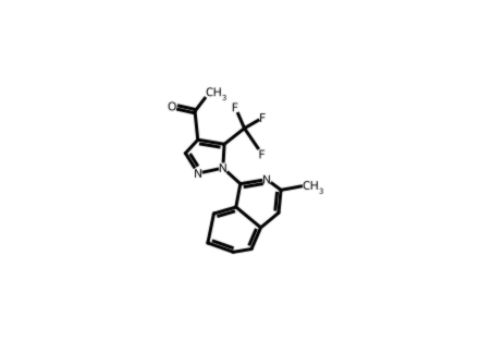 CC(=O)c1cnn(-c2nc(C)cc3ccccc23)c1C(F)(F)F